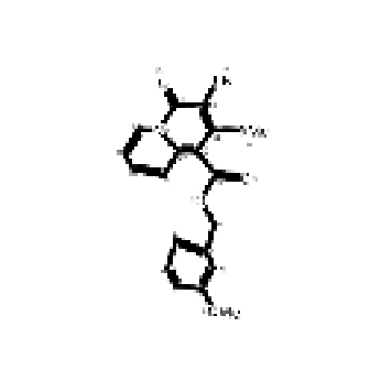 COc1cccc(COC(=O)c2c(SC)c(C#N)c(=O)n3ccccc23)c1